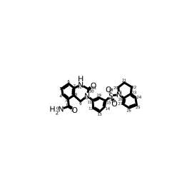 NC(=O)c1cccc2c1CN(c1cccc(S(=O)(=O)N3CCCc4ccccc43)c1)C(=O)N2